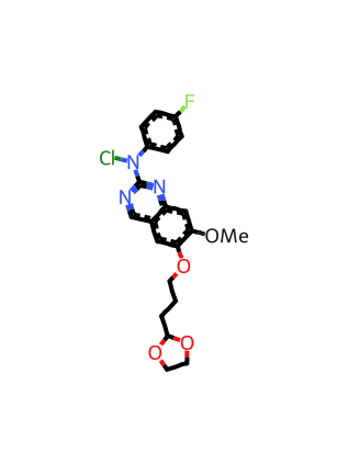 COc1cc2nc(N(Cl)c3ccc(F)cc3)ncc2cc1OCCCC1OCCO1